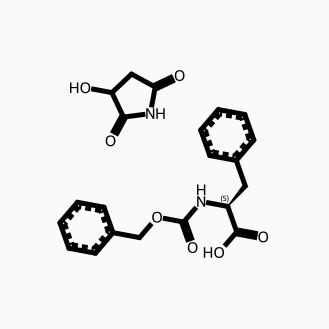 O=C(N[C@@H](Cc1ccccc1)C(=O)O)OCc1ccccc1.O=C1CC(O)C(=O)N1